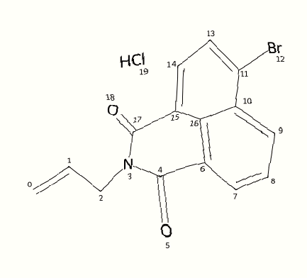 C=CCN1C(=O)c2cccc3c(Br)ccc(c23)C1=O.Cl